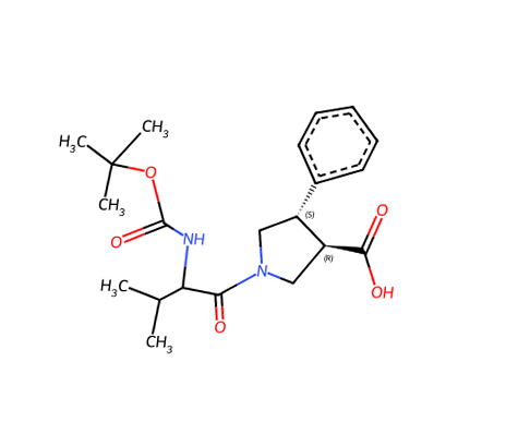 CC(C)C(NC(=O)OC(C)(C)C)C(=O)N1C[C@H](C(=O)O)[C@@H](c2ccccc2)C1